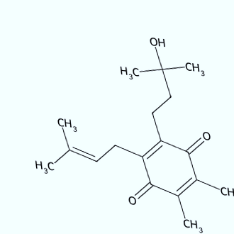 CC(C)=CCC1=C(CCC(C)(C)O)C(=O)C(C)=C(C)C1=O